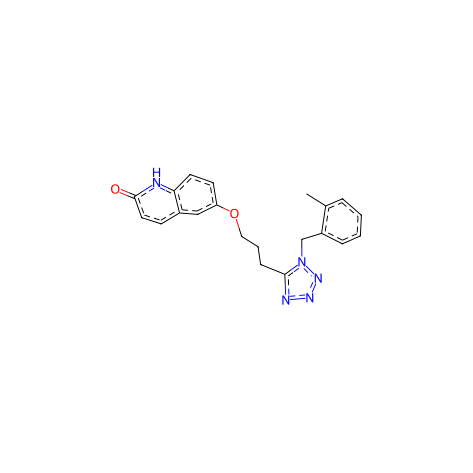 Cc1ccccc1Cn1nnnc1CCCOc1ccc2[nH]c(=O)ccc2c1